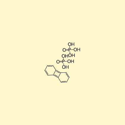 O=P(O)(O)O.O=P(O)(O)O.c1ccc2c(c1)=c1ccccc1=2